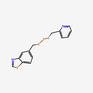 c1ccc(CSSSCc2ccc3scnc3c2)nc1